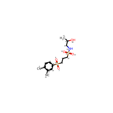 [C-]#[N+]c1ccc(S(=O)(=O)CCCS(=O)(=O)NCC(C)O)cc1[N+]#[C-]